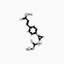 COC(=O)/C=C/c1ccc([C@H]2C[C@@H]2NC(=O)OC(C)(C)C)cc1